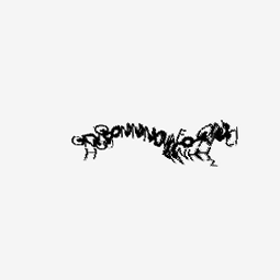 Nc1nccn2c(N3CCC4(CC3)CN(C3CN(C5CN(c6ccc7c(c6)C(=O)N(C6CCC(=O)NC6=O)C7=O)C5)C3)C4)nc(-c3ccc(C(=O)Nc4cc(Cl)ccn4)cc3F)c12